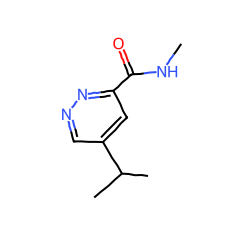 CNC(=O)c1cc(C(C)C)cnn1